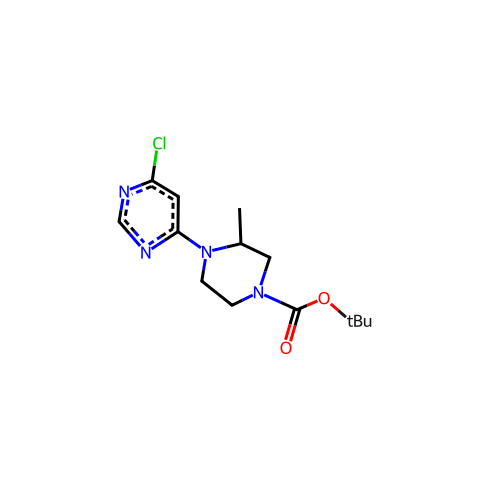 CC1CN(C(=O)OC(C)(C)C)CCN1c1cc(Cl)ncn1